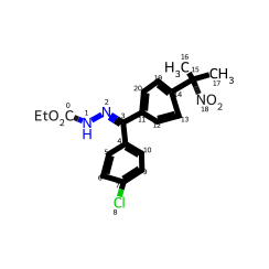 CCOC(=O)N/N=C(\c1ccc(Cl)cc1)c1ccc(C(C)(C)[N+](=O)[O-])cc1